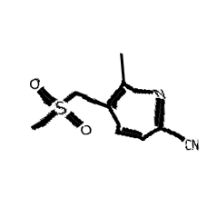 Cc1nc(C#N)ccc1CS(C)(=O)=O